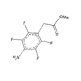 COC(=O)Cc1c(F)c(F)c(N)c(F)c1F